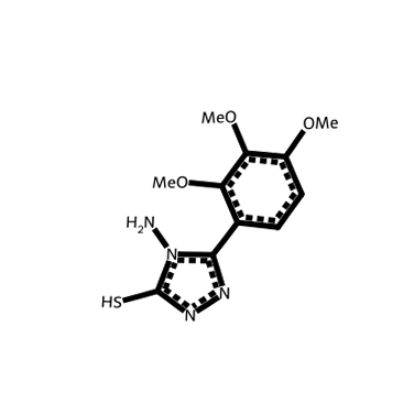 COc1ccc(-c2nnc(S)n2N)c(OC)c1OC